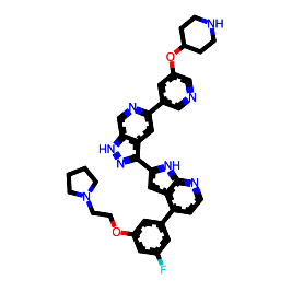 Fc1cc(OCCN2CCCC2)cc(-c2ccnc3[nH]c(-c4n[nH]c5cnc(-c6cncc(OC7CCNCC7)c6)cc45)cc23)c1